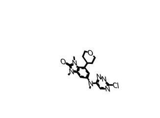 CN(c1cc(C2CCOCC2)c2c(c1)n(C)c(=O)n2C)c1cnc(Cl)nn1